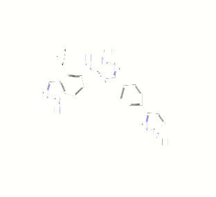 Cn1ccc(-c2ccc(-c3nc(Nc4ccc5[nH]ncc5c4C4CC4)n(C)n3)cc2)n1